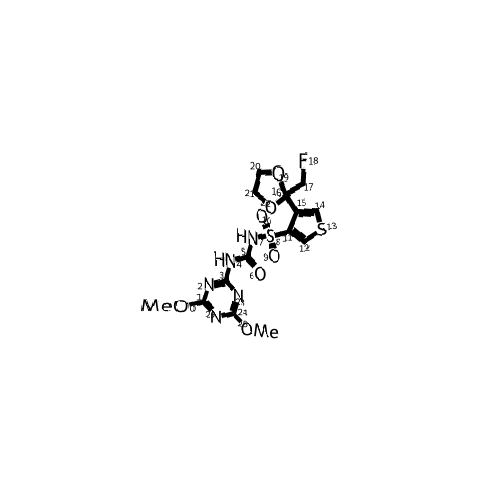 COc1nc(NC(=O)NS(=O)(=O)c2cscc2C2(CF)OCCO2)nc(OC)n1